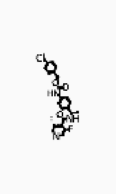 CC(NC(=O)c1c(F)cncc1F)c1ccc(NC(=O)OCc2ccc(Cl)cc2)cc1